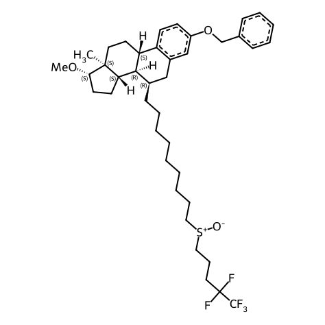 CO[C@H]1CC[C@H]2[C@@H]3[C@H](CCCCCCCCC[S+]([O-])CCCC(F)(F)C(F)(F)F)Cc4cc(OCc5ccccc5)ccc4[C@H]3CC[C@]12C